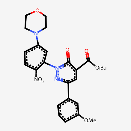 COc1cccc(-c2cc(C(=O)OCC(C)C)c(=O)n(-c3cc(N4CCOCC4)ccc3[N+](=O)[O-])n2)c1